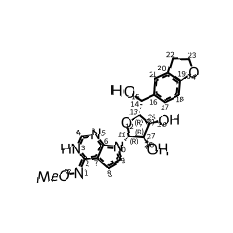 CON=c1[nH]cnc2c1ccn2[C@@H]1O[C@H](C(O)c2ccc3c(c2)CCO3)[C@@H](O)[C@H]1O